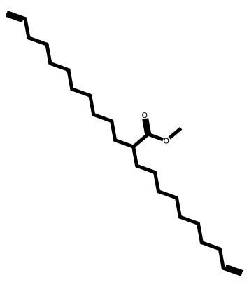 C=CCCCCCCCCCC(CCCCCCCCC=C)C(=O)OC